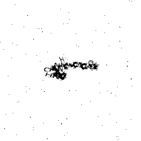 CC(C)(C)OC(=O)N1CCCC(CN2CCC(CCN3CCC(Nc4ncc(Cl)c(-c5c[nH]c6ccccc56)n4)C3)CC2)C1